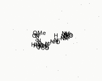 COC(=O)[C@@H]1CCCCN1Cc1ccc(C(=O)Nc2cccc(-c3cccc(NC(=O)c4ccc(CNCCNC(=O)CCCNc5nc(N)n6nc(-c7ccco7)nc6n5)cn4)c3C)c2C)nc1